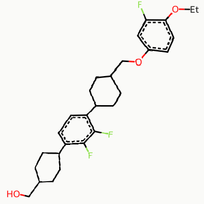 CCOc1ccc(OCC2CCC(c3ccc(C4CCC(CO)CC4)c(F)c3F)CC2)cc1F